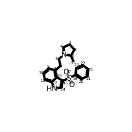 CC1CCCN1CCc1cccc2[nH]cc(S(=O)(=O)c3ccccc3)c12